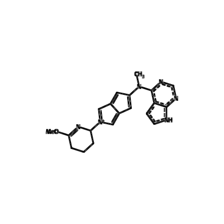 COC1=NC([N+]2=CC3=CC(N(C)c4ncnc5[nH]ccc45)=CC3=C2)CCC1